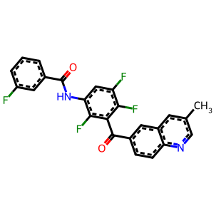 Cc1cnc2ccc(C(=O)c3c(F)c(F)cc(NC(=O)c4cccc(F)c4)c3F)cc2c1